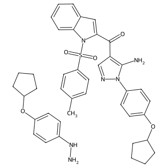 Cc1ccc(S(=O)(=O)n2c(C(=O)c3cnn(-c4ccc(OC5CCCC5)cc4)c3N)cc3ccccc32)cc1.NNc1ccc(OC2CCCC2)cc1